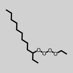 CCCCCCCCCC(CC)OOOOCC